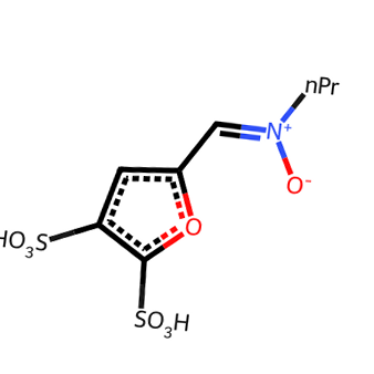 CCC[N+]([O-])=Cc1cc(S(=O)(=O)O)c(S(=O)(=O)O)o1